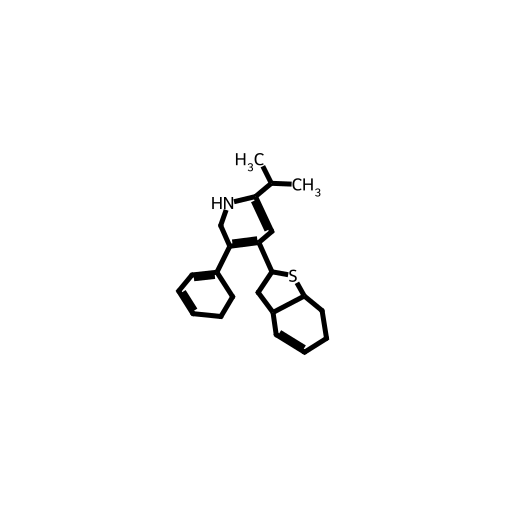 CC(C)C1=CC(C2CC3C=CCCC3S2)=C(C2=CC=CCC2)CN1